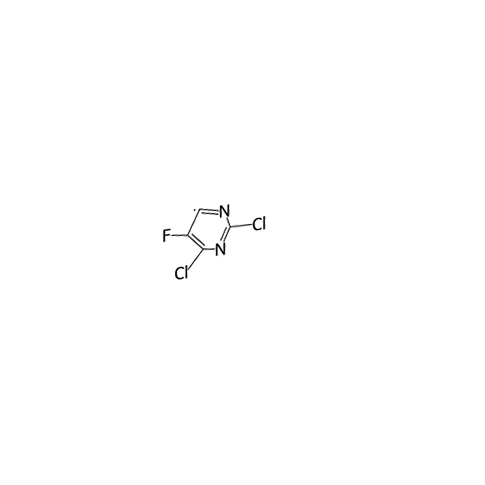 Fc1[c]nc(Cl)nc1Cl